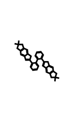 CC1(C)Cc2cc3c(cc2C1)CC(c1ccccc1-c1ccccc1C1=Cc2cc4c(cc2C1)CC(C)(C)C4)=C3